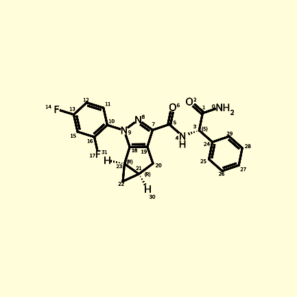 NC(=O)[C@@H](NC(=O)c1nn(-c2ccc(F)cc2F)c2c1C[C@H]1C[C@@H]21)c1ccccc1